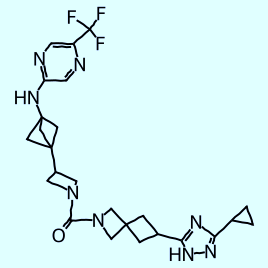 O=C(N1CC(C23CC(Nc4cnc(C(F)(F)F)cn4)(C2)C3)C1)N1CC2(CC(c3nc(C4CC4)n[nH]3)C2)C1